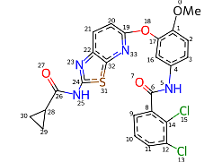 COc1ccc(NC(=O)c2cccc(Cl)c2Cl)cc1Oc1ccc2nc(NC(=O)C3CC3)sc2n1